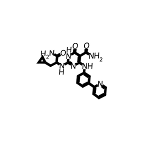 NC(=O)c1c(Nc2cccc(-c3ccccn3)c2)nc(NC(CC2CC2)C(N)=O)[nH]c1=O